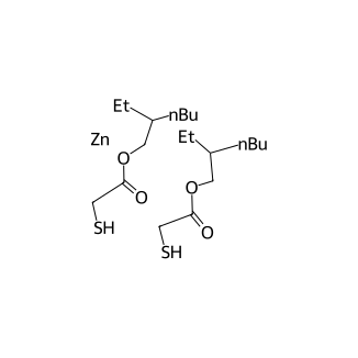 CCCCC(CC)COC(=O)CS.CCCCC(CC)COC(=O)CS.[Zn]